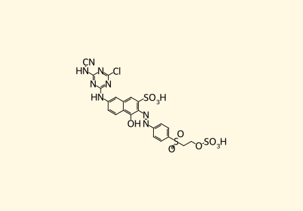 N#CNc1nc(Cl)nc(Nc2ccc3c(O)c(/N=N/c4ccc(S(=O)(=O)CCOS(=O)(=O)O)cc4)c(S(=O)(=O)O)cc3c2)n1